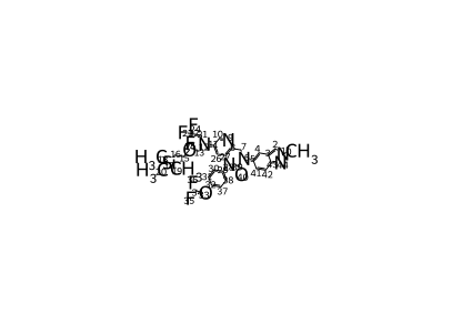 Cn1cc2cc(N3Cc4ncc(N(COCC[Si](C)(C)C)CC(F)(F)F)cc4N(c4ccc(OC(F)F)cc4)C3=O)ccc2n1